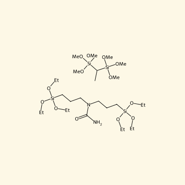 CCO[Si](CCCN(CCC[Si](OCC)(OCC)OCC)C(N)=O)(OCC)OCC.CO[Si](OC)(OC)C(C)[Si](OC)(OC)OC